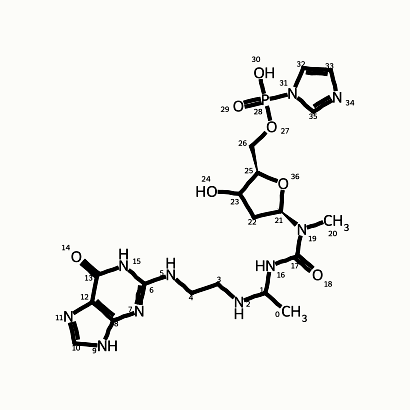 CC(NCCNc1nc2[nH]cnc2c(=O)[nH]1)NC(=O)N(C)[C@H]1CC(O)[C@@H](COP(=O)(O)n2ccnc2)O1